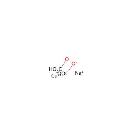 O=C([O-])O.O=C([O-])[O-].[Cu+2].[Na+]